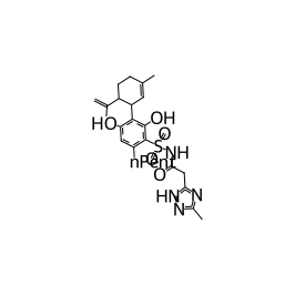 C=C(C)C1CCC(C)=CC1c1c(O)cc(CCCCC)c(S(=O)(=O)NC(=O)Cc2nc(C)n[nH]2)c1O